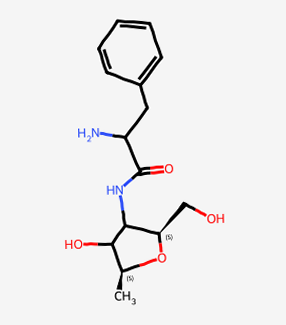 C[C@@H]1O[C@H](CO)C(NC(=O)C(N)Cc2ccccc2)C1O